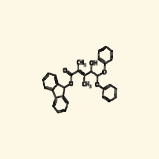 CC(C(=O)OC1c2ccccc2-c2ccccc21)=C(C)C(O)C(Oc1ccccc1)Oc1ccccc1